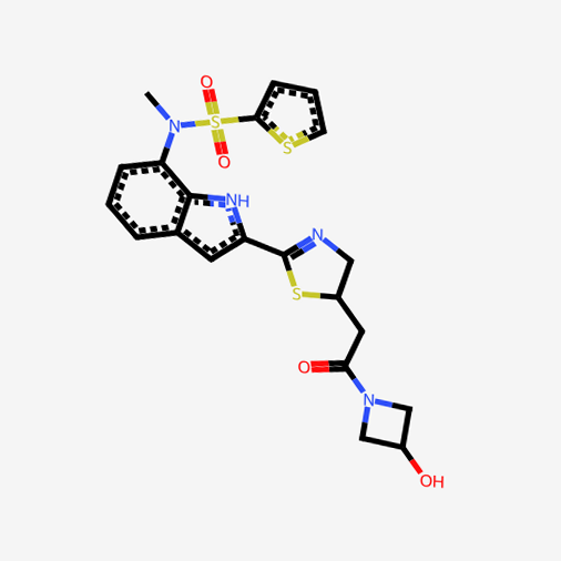 CN(c1cccc2cc(C3=NCC(CC(=O)N4CC(O)C4)S3)[nH]c12)S(=O)(=O)c1cccs1